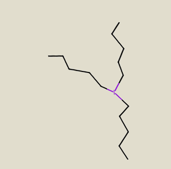 CCCCCI(CCCCC)CCCCC